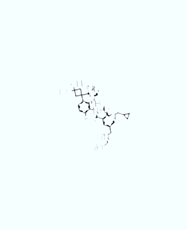 CC(C)CNCc1cc(C(=O)Nc2cc(C3(c4nncn4C)CC(C)(C)C3)ccc2F)c(=O)n(CC2CC2)c1